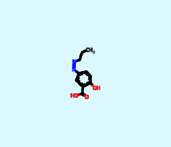 CCC/N=N\c1ccc(O)c(C(=O)O)c1